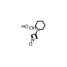 Cl.Cl.[O-][N+]1=CC(N2CCCCC2)=C1